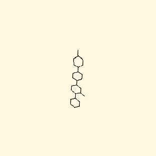 CC1CCC(C2CCC(C3CCC(C4CCCCC4)C(C)C3)CC2)CC1